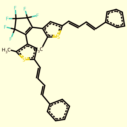 Cc1sc(C=CC=Cc2ccccc2)cc1C1=C(c2cc(C=CC=Cc3ccccc3)sc2C)C(F)(F)C(F)(F)C1(F)F